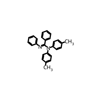 Cc1ccc(N(C(=Nc2ccccc2)c2ccccc2)c2ccc(C)cc2)cc1